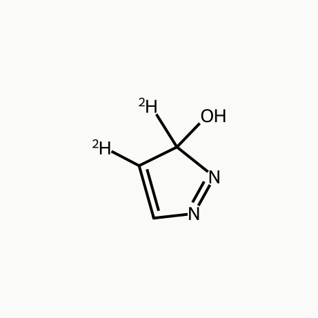 [2H]C1=CN=NC1([2H])O